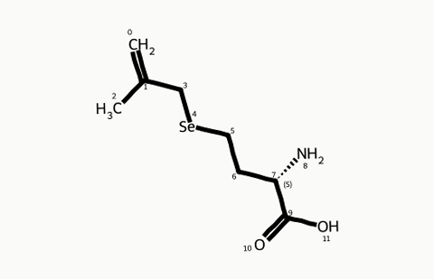 C=C(C)C[Se]CC[C@H](N)C(=O)O